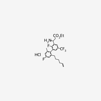 C=CCCCCc1cc(F)cc(C)c1-c1cc(C(F)(F)F)cc([C@@H](N)CC(=O)OCC)c1F.Cl